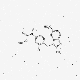 Cc1nc2ccc(C(=O)O)nc2n1Cc1ccc(N(C)C(=O)OC(C)(C)C)cc1Cl